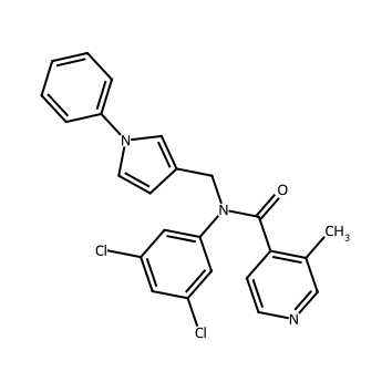 Cc1cnccc1C(=O)N(Cc1ccn(-c2ccccc2)c1)c1cc(Cl)cc(Cl)c1